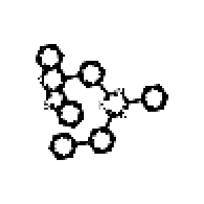 c1ccc(-c2cccc(-c3nc(-c4ccccc4)nc(-c4cccc(-c5c6ccccc6nc6sc7ccccc7c56)c4)n3)c2)cc1